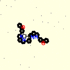 CN1c2c(ccc3ccc(-c4cccc(-c5ccc6ccc7ccc(-c8ccc9oc%10ccccc%10c9c8)nc7c6n5)c4)nc23)C=CC1c1ccc2oc3ccccc3c2c1